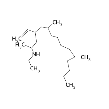 C=CC(CC(C)CCCCC(C)CCCC)CC(C)NCC